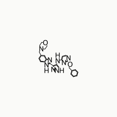 c1ccc(COc2nccc(Nc3c[nH]nc3-c3nc4cc(CN5CCOCC5)ccc4[nH]3)n2)cc1